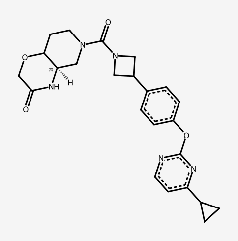 O=C1COC2CCN(C(=O)N3CC(c4ccc(Oc5nccc(C6CC6)n5)cc4)C3)C[C@H]2N1